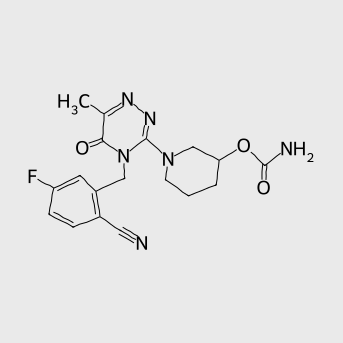 Cc1nnc(N2CCCC(OC(N)=O)C2)n(Cc2cc(F)ccc2C#N)c1=O